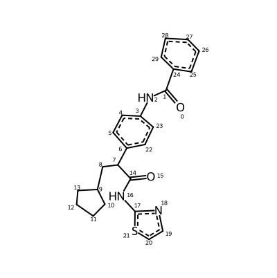 O=C(Nc1ccc(C(CC2CCCC2)C(=O)Nc2nccs2)cc1)c1ccccc1